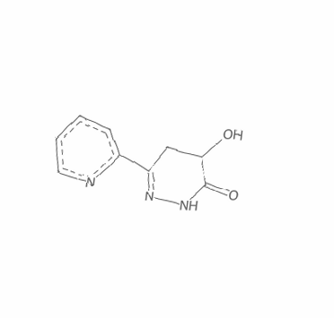 O=C1NN=C(c2ccccn2)CC1O